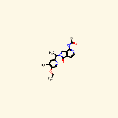 CCC(=O)Nc1nccc2c1CN(C(C)c1cc(C)c(OCC(F)(F)F)cn1)C2=O